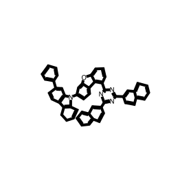 C1=Cc2c(c3ccc(-c4ccccc4)cc3n2-c2ccc3c(c2)oc2cccc(-c4nc(-c5ccc6ccccc6c5)nc(-c5ccc6ccccc6c5)n4)c23)CC1